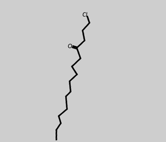 CCCCCCCCCCCC(=O)CCCCl